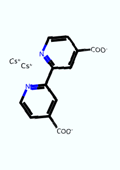 O=C([O-])c1ccnc(-c2cc(C(=O)[O-])ccn2)c1.[Cs+].[Cs+]